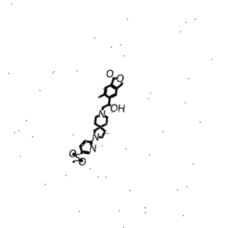 Cc1cc2c(cc1C(O)CN1CCC3(CC1)CCN(c1ccc(S(C)(=O)=O)cn1)C3)COC2=O